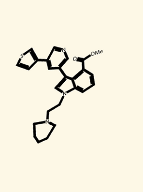 COC(=O)c1cccc2c1c(-c1cncc(-c3ccsc3)c1)cn2CCN1CCCCC1